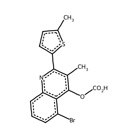 Cc1ccc(-c2nc3cccc(Br)c3c(OC(=O)O)c2C)s1